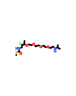 CSC(=O)NCC(F)C(C)OCCOCCOCCOCCNC(C)C